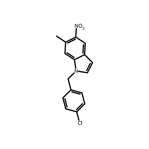 Cc1cc2c(ccn2Cc2ccc(Cl)cc2)cc1[N+](=O)[O-]